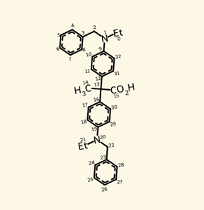 CCN(Cc1ccccc1)c1ccc(C(C)(C(=O)O)c2ccc(N(CC)Cc3ccccc3)cc2)cc1